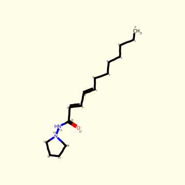 CCCCCCC/C=C/C=C/C(=O)NN1CCCC1